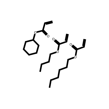 C=CC(=O)OC1CCCCC1.C=CC(=O)OCCCC.C=CC(=O)OCCCCCC